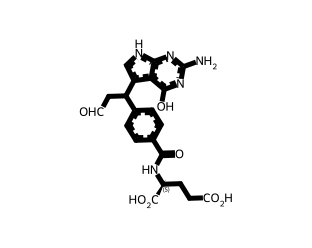 Nc1nc(O)c2c(C(CC=O)c3ccc(C(=O)N[C@@H](CCC(=O)O)C(=O)O)cc3)c[nH]c2n1